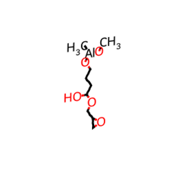 C[O][Al]([CH3])[O]CCCC(O)OCC1CO1